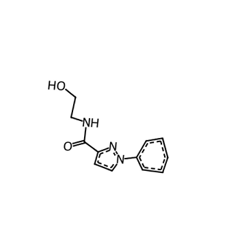 O=C(NCCO)c1ccn(-c2ccccc2)n1